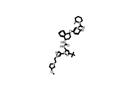 COC1CCN(CCn2cc(-n3nc(C(C)(C)C)cc3NC(=O)N[C@H]3CC[C@@H](Oc4ccc5nnc(N6CCCC[C@@H]6C)n5c4)c4ccccc43)cn2)C1